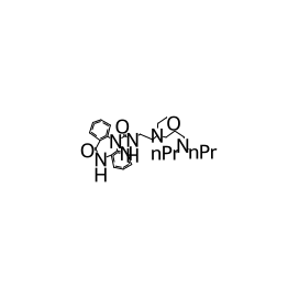 CCCN(CCC)CC1CN(CCNC(=O)N2c3ccccc3C(=O)Nc3cccnc32)CCO1